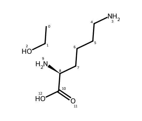 CCO.NCCCC[C@H](N)C(=O)O